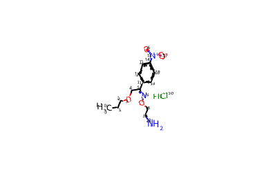 CCCOCC(=NOCCN)c1ccc([N+](=O)[O-])cc1.Cl